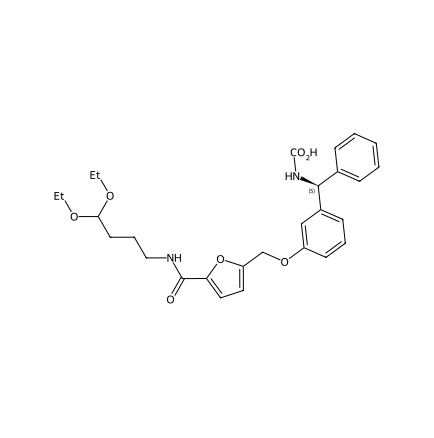 CCOC(CCCNC(=O)c1ccc(COc2cccc([C@@H](NC(=O)O)c3ccccc3)c2)o1)OCC